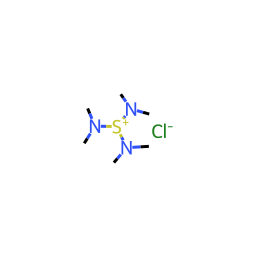 CN(C)[S+](N(C)C)N(C)C.[Cl-]